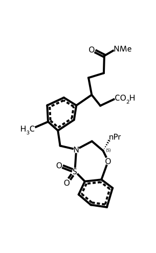 CCC[C@H]1CN(Cc2cc(C(CCC(=O)NC)CC(=O)O)ccc2C)S(=O)(=O)c2ccccc2O1